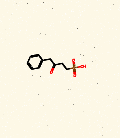 O=C(CCS(=O)(=O)O)Cc1ccccc1